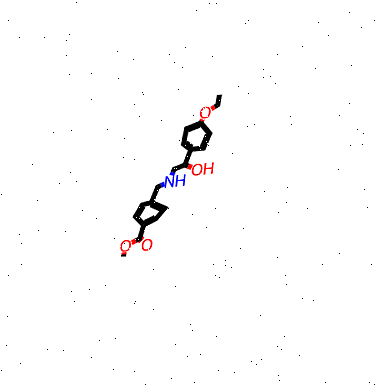 CCOc1ccc(C(O)CNCc2ccc(C(=O)OC)cc2)cc1